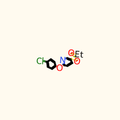 CCS(=O)(=O)c1ccc(Oc2ccc(Cl)cc2)nc1